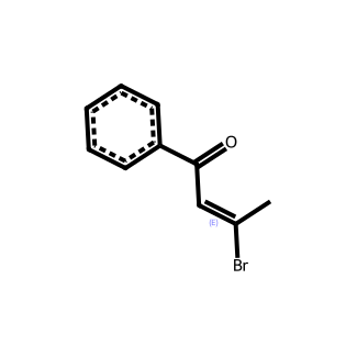 C/C(Br)=C\C(=O)c1ccccc1